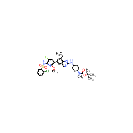 CCc1cc(-c2cc(F)c(NS(=O)(=O)c3ccccc3Cl)nc2OC)cc2cnc(NC3CCC(N(C)C(=O)OC(C)(C)C)CC3)nc12